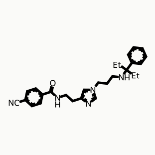 CCC(CC)(NCCCn1cnc(CCNC(=O)c2ccc(C#N)cc2)c1)c1ccccc1